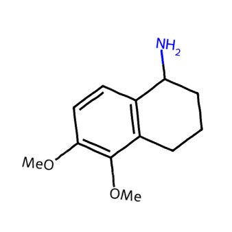 COc1ccc2c(c1OC)CCCC2N